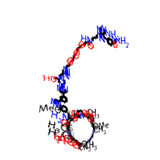 CO[C@H]1C[C@@H]2CC[C@@H](C)[C@@](O)(O2)C(=O)C(=O)N2CCCC[C@H]2C(=O)O[C@H]([C@H](N)C[C@@H]2CC[C@H](n3nncc3-c3cccc(-c4cnc(N5CCN(Cc6cn(CCOCCOCCOCCC(=O)NCCCCn7nc(-c8ccc9oc(N)nc9c8)c8c(N)ncnc87)nn6)C(CO)C5)nc4)c3)[C@H](OC)C2)CC(=O)[C@H](C)/C=C(\C)[C@@H](O)[C@@H](O)C(=O)[C@H](C)C[C@H](C)/C=C/C=C/C=C/1C